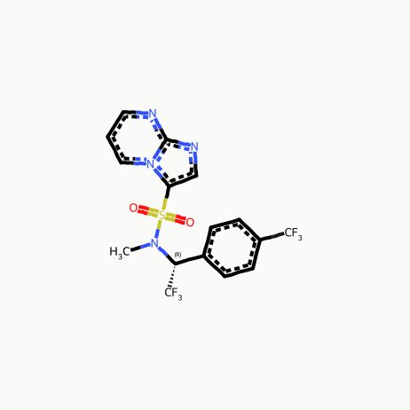 CN([C@H](c1ccc(C(F)(F)F)cc1)C(F)(F)F)S(=O)(=O)c1cnc2ncccn12